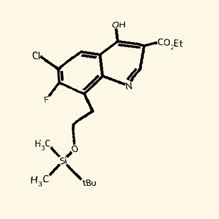 CCOC(=O)c1cnc2c(CCO[Si](C)(C)C(C)(C)C)c(F)c(Cl)cc2c1O